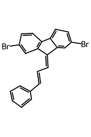 Brc1ccc2c(c1)C(=C/C=C/c1ccccc1)c1cc(Br)ccc1-2